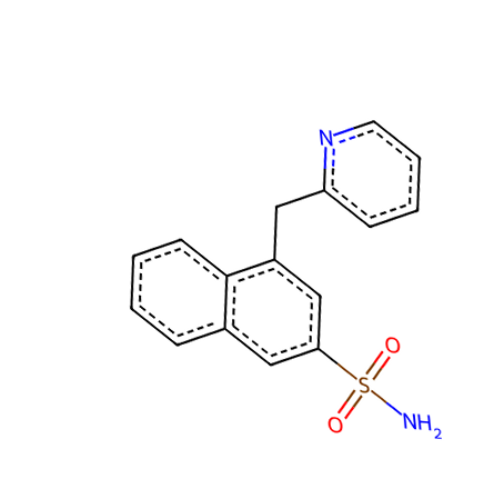 NS(=O)(=O)c1cc(Cc2ccccn2)c2ccccc2c1